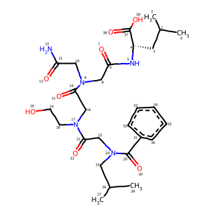 CC(C)C[C@H](NC(=O)CN(CC(N)=O)C(=O)CN(CCO)C(=O)CN(CC(C)C)C(=O)c1ccccc1)C(=O)O